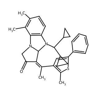 C/C(=C1\C(=O)CN2c3c(ccc(C)c3C)N([C](C3CC3)C3CC3)C12)c1cc(-c2ccccc2)sc1C